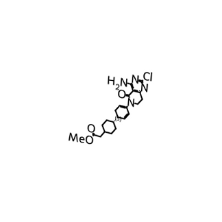 COC(=O)CC1CCC([C@H]2C=CC(N3CCc4nc(Cl)nc(N)c4C3=O)=CC2)CC1